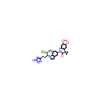 CCC(C(CCc1nn[nH]n1)n1ccc2cc(NC(=O)C3(c4ccc5c(c4)OCO5)CC3)ccc21)C(C)(C)C